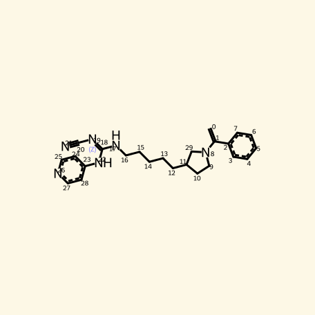 C=C(c1ccccc1)N1CCC(CCCCCN/C(=N/C#N)Nc2ccncc2)C1